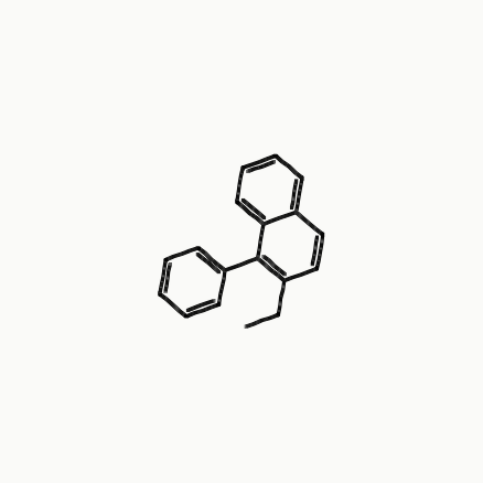 CCc1ccc2ccccc2c1-c1ccccc1